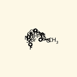 COCCOc1ccccc1-c1nccc(COc2ccccc2C[C@@H](Nc2ncnc3sc(-c4ccc(F)cc4)c(Br)c23)C(=O)O)n1